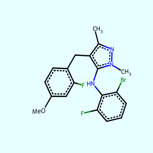 COc1ccc(Cc2c(C)nn(C)c2Nc2c(F)cccc2Br)c(F)c1